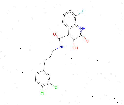 O=C(NCCCc1ccc(Cl)c(Cl)c1)c1c(O)c(=O)[nH]c2c(F)cccc12